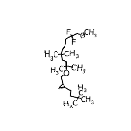 COCC(F)(F)CCCC(C)(C)CCC(C)(C)OCC1CC1CCC(C)(C)C